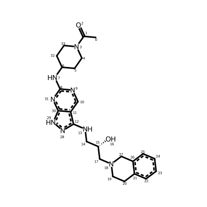 CC(=O)N1CCC(Nc2ncc3c(NC[C@H](O)CN4CCc5ccccc5C4)n[nH]c3n2)CC1